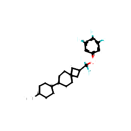 CCCC1CCC(C2CCC3(CC2)CC(C(F)(F)Oc2cc(F)c(F)c(F)c2)C3)CC1